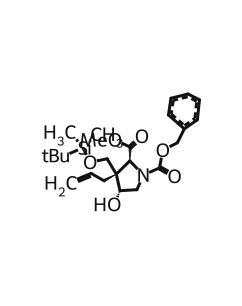 C=CC[C@]1(CO[Si](C)(C)C(C)(C)C)[C@@H](O)CN(C(=O)OCc2ccccc2)[C@@H]1C(=O)OC